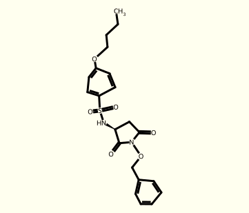 CCCCOc1ccc(S(=O)(=O)N[C@H]2CC(=O)N(OCc3ccccc3)C2=O)cc1